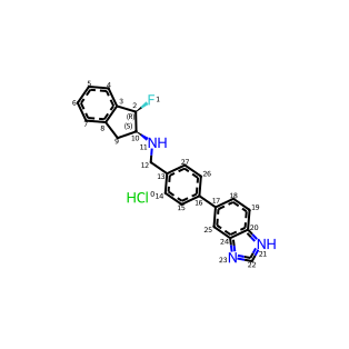 Cl.F[C@@H]1c2ccccc2C[C@@H]1NCc1ccc(-c2ccc3[nH]cnc3c2)cc1